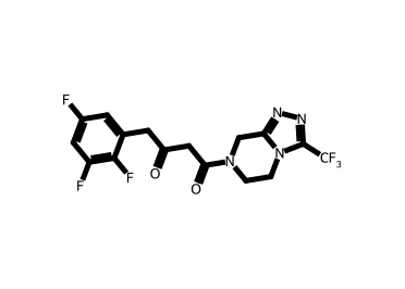 O=C(CC(=O)N1CCn2c(nnc2C(F)(F)F)C1)Cc1cc(F)cc(F)c1F